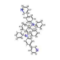 c1ccc(N(c2ccc(-c3cccnc3)cc2)c2c3ccccc3c(N(c3ccccc3)c3ccc(-c4cccnc4)cc3)c3ccccc23)cc1